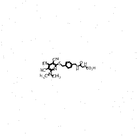 CCc1c(C#N)c(SCc2ccc(CNC(=O)CNC(=O)O)cc2)nc(N(C)C)c1C#N